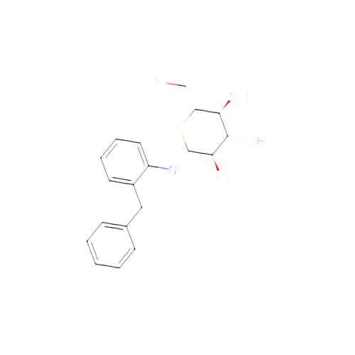 OC[C@H]1S[C@@H](Nc2ccccc2Cc2ccccc2)[C@H](O)[C@@H](O)[C@@H]1O